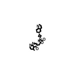 Cc1ccnc2ncn(Cc3nn([C@H]4C[C@H](C5C=c6cccnc6=CC5)C4)c(=O)o3)c(=O)c12